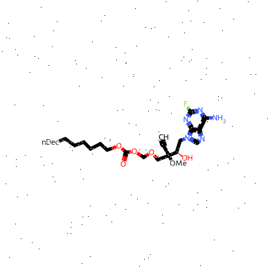 C#CC(COCOC(=O)OCCCCCCCCCCCCCCCC)(OC)[C@@H](O)Cn1cnc2c(N)nc(F)nc21